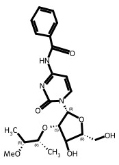 CO[C@H](C)[C@@H](C)O[C@H]1C(O)[C@@H](CO)O[C@H]1n1ccc(NC(=O)c2ccccc2)nc1=O